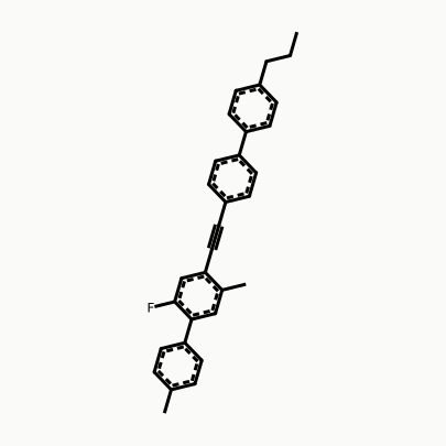 CCCc1ccc(-c2ccc(C#Cc3cc(F)c(-c4ccc(C)cc4)cc3C)cc2)cc1